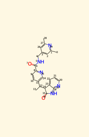 Cc1cc(CNC(=O)c2ccc(C(C)C3C(=O)Nc4ncccc43)cn2)cc(C)n1